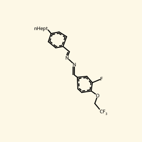 CCCCCCCc1ccc(C=NN=Cc2ccc(OCC(F)(F)F)c(F)c2)cc1